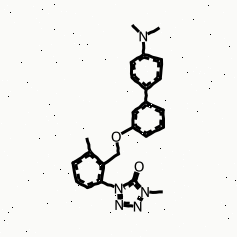 Cc1cccc(-n2nnn(C)c2=O)c1COc1cccc(-c2ccc(N(C)C)cc2)c1